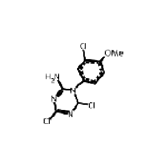 COc1ccc(N2C(N)=NC(Cl)=NC2Cl)cc1Cl